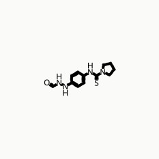 O=CNNc1ccc(NC(=S)N2CCCC2)cc1